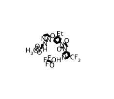 CCc1cc(N2C(=O)CN(c3cncc(C(F)(F)F)c3)C2=O)ccc1Oc1ccnc(NCCS(C)(=O)=O)n1.O=C(O)C(F)(F)F